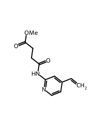 C=Cc1ccnc(NC(=O)CCC(=O)OC)c1